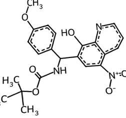 COc1ccc(C(NC(=O)OC(C)(C)C)c2cc([N+](=O)[O-])c3cccnc3c2O)cc1